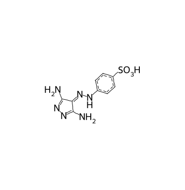 NC1=NN=C(N)C1=NNc1ccc(S(=O)(=O)O)cc1